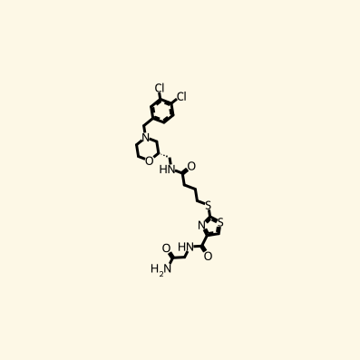 NC(=O)CNC(=O)c1csc(SCCCC(=O)NC[C@H]2CN(Cc3ccc(Cl)c(Cl)c3)CCO2)n1